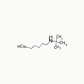 C#CCCCCCNC(C)(C)C